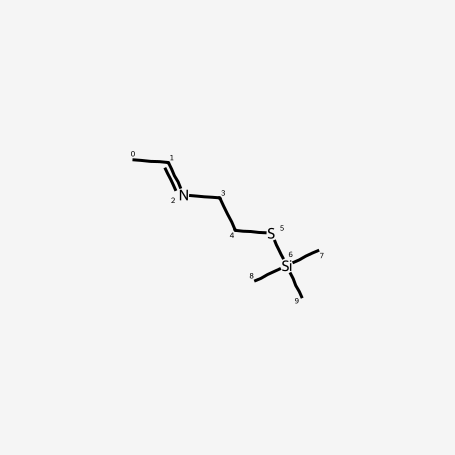 CC=NCCS[Si](C)(C)C